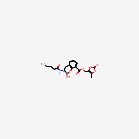 Cc1oc(=O)oc1COC(=O)c1cccc2c1OB(O)[C@@H](NC(=O)CCCC(F)(F)F)C2